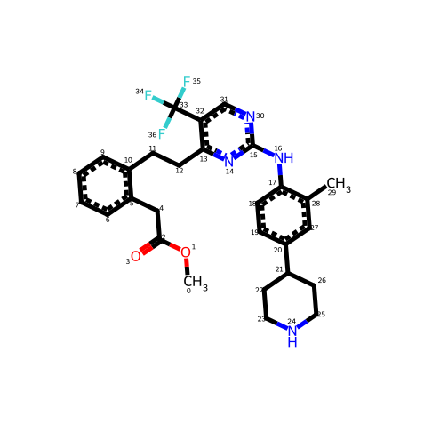 COC(=O)Cc1ccccc1CCc1nc(Nc2ccc(C3CCNCC3)cc2C)ncc1C(F)(F)F